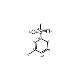 CC1=CC(S(C)(=O)=O)CC=C1